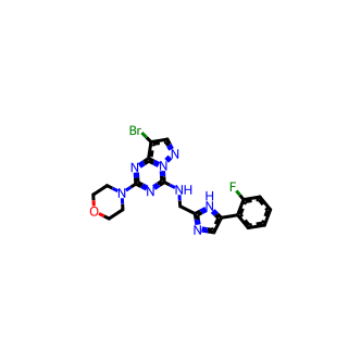 Fc1ccccc1-c1cnc(CNc2nc(N3CCOCC3)nc3c(Br)cnn23)[nH]1